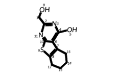 OCc1nc(O)c2c3c(sc2n1)CCCC3